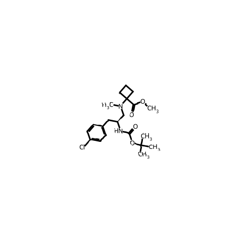 COC(=O)C1(N(C)C[C@H](Cc2ccc(Cl)cc2)NC(=O)OC(C)(C)C)CCC1